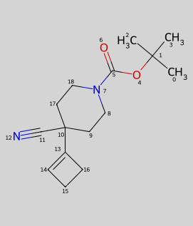 CC(C)(C)OC(=O)N1CCC(C#N)(C2=CCC2)CC1